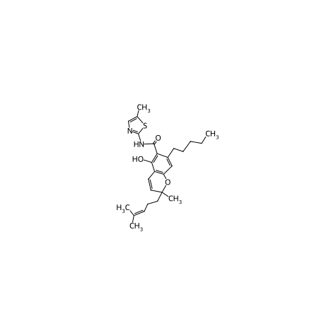 CCCCCc1cc2c(c(O)c1C(=O)Nc1ncc(C)s1)C=CC(C)(CCC=C(C)C)O2